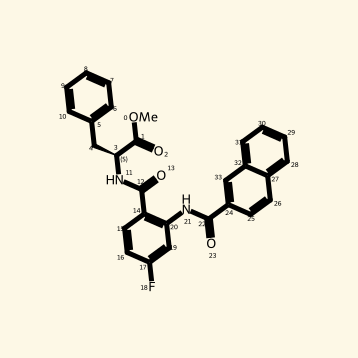 COC(=O)[C@H](Cc1ccccc1)NC(=O)c1ccc(F)cc1NC(=O)c1ccc2ccccc2c1